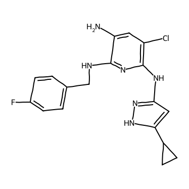 Nc1cc(Cl)c(Nc2cc(C3CC3)[nH]n2)nc1NCc1ccc(F)cc1